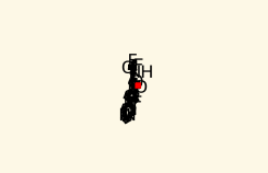 O=C(NC[C@H]1CN(c2ccc(N3CCN4CCCN4CC3)c(F)c2)C(=O)O1)C(F)F